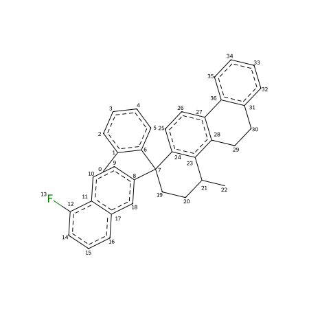 Cc1ccccc1C1(c2ccc3c(F)cccc3c2)CCC(C)c2c1ccc1c2CCc2ccccc2-1